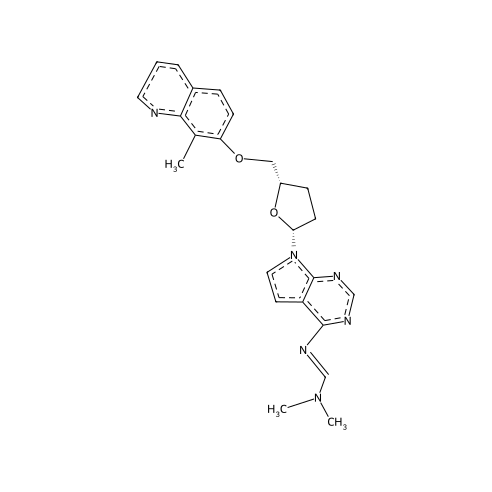 Cc1c(OC[C@@H]2CC[C@H](n3ccc4c(/N=C/N(C)C)ncnc43)O2)ccc2cccnc12